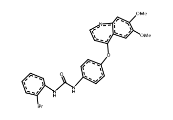 COc1cc2nccc(Oc3ccc(NC(=O)Nc4ccccc4C(C)C)cc3)c2cc1OC